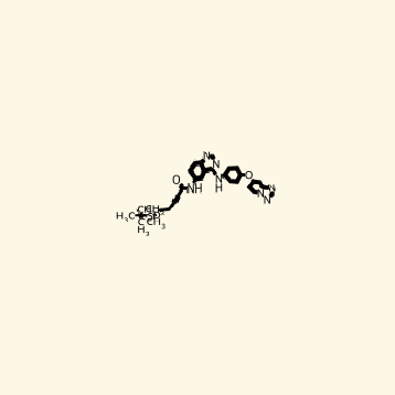 CC(C)(C)[Si](C)(C)OCCC#CC(=O)Nc1ccc2ncnc(Nc3ccc(Oc4ccn5ncnc5c4)cc3)c2c1